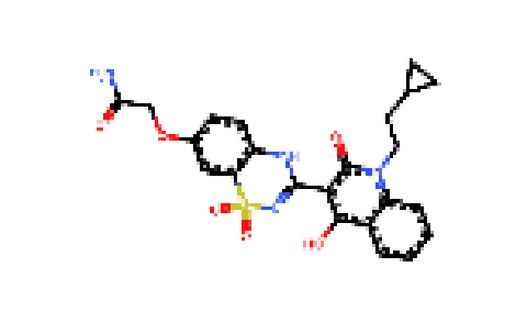 NC(=O)COc1ccc2c(c1)S(=O)(=O)N=C(c1c(O)c3ccccc3n(CCC3CC3)c1=O)N2